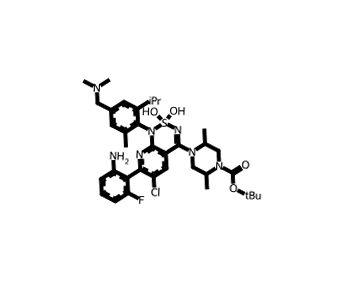 Cc1cc(CN(C)C)cc(C(C)C)c1N1c2nc(-c3c(N)cccc3F)c(Cl)cc2C(N2CC(C)N(C(=O)OC(C)(C)C)CC2C)=NS1(O)O